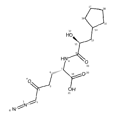 [N-]=[N+]=CC(=O)CC[C@H](NC(=O)[C@@H](O)CC1CCCC1)C(=O)O